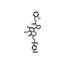 COc1ccc(S(=O)(=O)CCN2CCn3c(C4CCCN4C(=O)CSc4ccccc4Cl)nc(=O)c(O)c3C2=O)cc1